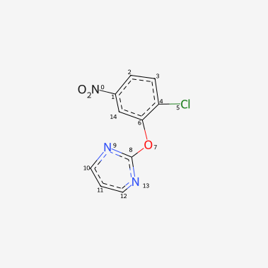 O=[N+]([O-])c1ccc(Cl)c(Oc2ncccn2)c1